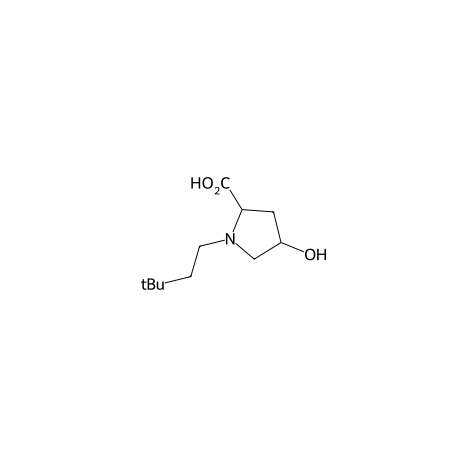 CC(C)(C)CCN1CC(O)CC1C(=O)O